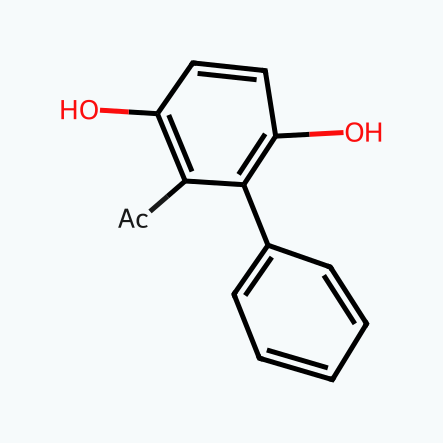 CC(=O)c1c(O)ccc(O)c1-c1ccccc1